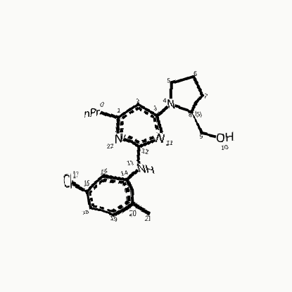 CCCc1cc(N2CCC[C@H]2CO)nc(Nc2cc(Cl)ccc2C)n1